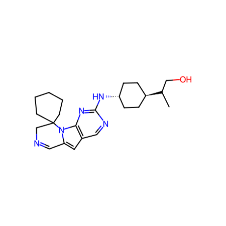 CC(CO)[C@H]1CC[C@H](Nc2ncc3cc4n(c3n2)C2(CCCCC2)CN=C4)CC1